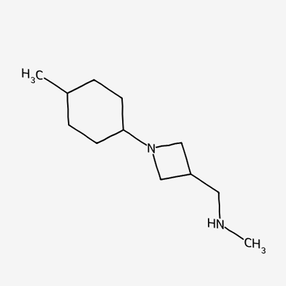 CNCC1CN(C2CCC(C)CC2)C1